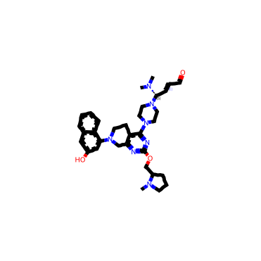 CN1CCCC1COc1nc2c(c(N3CCN([C@@H](/C=C/C=O)N(C)C)CC3)n1)CCN(c1cc(O)cc3ccccc13)C2